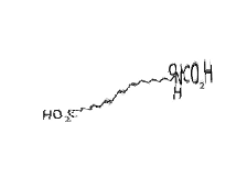 C=C(NC(=O)CCCCCCCCCCCCCCCCCCC(=O)O)C(=O)O